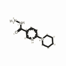 NNC(=O)c1ccc(N2CCCCC2)nc1